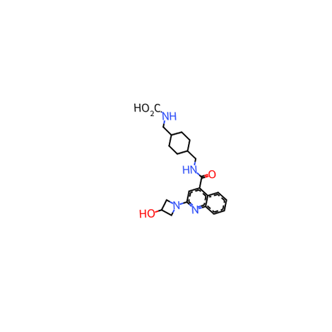 O=C(O)NCC1CCC(CNC(=O)c2cc(N3CC(O)C3)nc3ccccc23)CC1